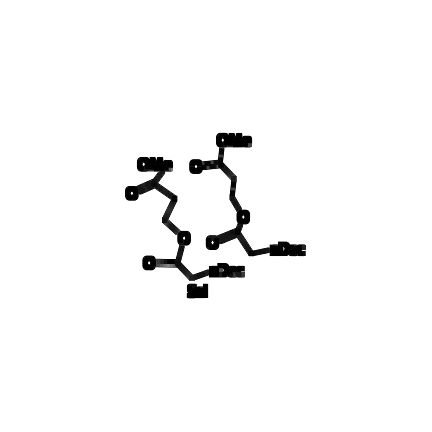 CCCCCCCCCCCC(=O)OCCC(=O)OC.CCCCCCCCCCCC(=O)OCCC(=O)OC.[Sn]